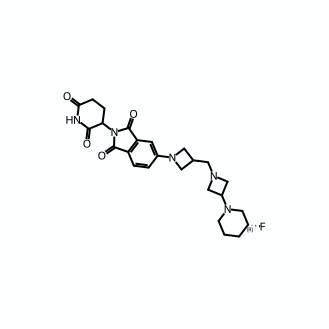 O=C1CCC(N2C(=O)c3ccc(N4CC(CN5CC(N6CCC[C@@H](F)C6)C5)C4)cc3C2=O)C(=O)N1